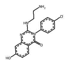 NCCNc1nc2cc(O)ccc2c(=O)n1-c1ccc(Cl)cc1